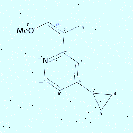 CO/C=C(/C)c1cc(C2CC2)ccn1